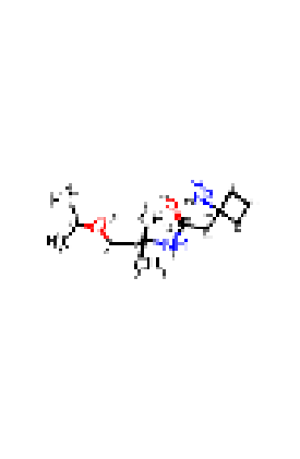 CC(C)OCC(C)(C)NC(=O)CC1(N)CCC1